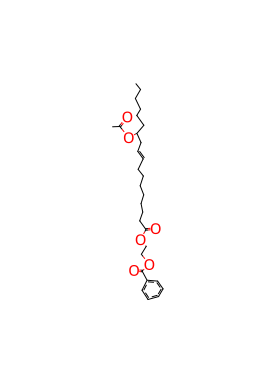 CCCCCCC(CC=CCCCCCCCC(=O)OCCOC(=O)c1ccccc1)OC(C)=O